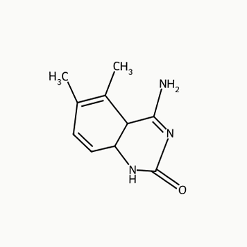 CC1=C(C)C2C(N)=NC(=O)NC2C=C1